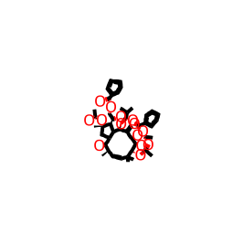 C=C1[C@@H](OC(=O)c2ccccc2)[C@H](OC(C)=O)[C@H](OC(C)=O)C(C)(C)/C=C\[C@@H](C)C(=O)C2C[C@](C)(OC(C)=O)[C@@H](C(=O)COC(=O)c3ccccc3)C2[C@H]1OC(=O)C(C)C